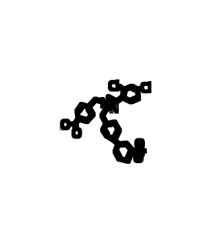 COC(=O)c1ccc(Cn2cc(-c3ccc(Cl)cc3Cl)nc2Cc2ccc(-c3cccc(S(C)(=O)=O)c3)cc2)cc1